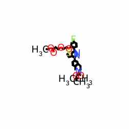 CCOC(=O)CCOCCOc1cc(F)ccc1-c1nnc(-c2ccc3c(c2)CCN(C(=O)OC(C)(C)C)C3)c2ccsc12